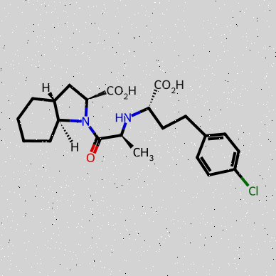 C[C@H](N[C@@H](CCc1ccc(Cl)cc1)C(=O)O)C(=O)N1[C@H](C(=O)O)C[C@H]2CCCC[C@@H]21